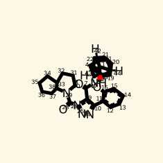 CC1(C)[C@@H]2C[C@H](NC(=O)c3c(-c4ccccc4Oc4ccccc4)nnn3C(=O)N3CCCC4CCCCC43)C[C@H]1C2